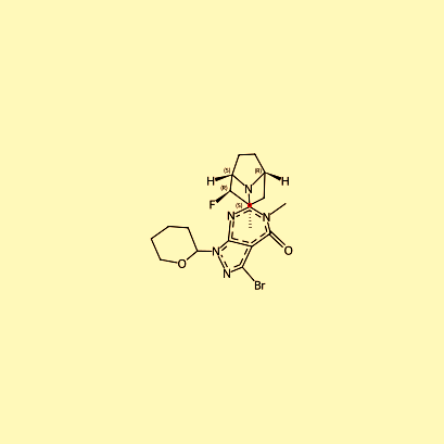 C[C@H]1C[C@H]2CC[C@@H]([C@@H]1F)N2c1nc2c(c(Br)nn2C2CCCCO2)c(=O)n1C